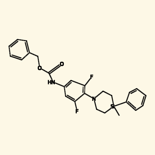 C[Si]1(c2ccccc2)CCN(c2c(F)cc(NC(=O)OCc3ccccc3)cc2F)CC1